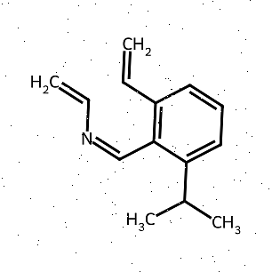 C=C/N=C\c1c(C=C)cccc1C(C)C